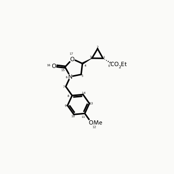 CCOC(=O)[C@H]1C[C@@H]1C1CN(Cc2ccc(OC)cc2)C(=O)O1